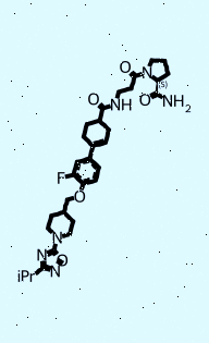 CC(C)c1noc(N2CCC(COc3ccc(C4=CCC(C(=O)NCCC(=O)N5CCC[C@H]5C(N)=O)CC4)cc3F)CC2)n1